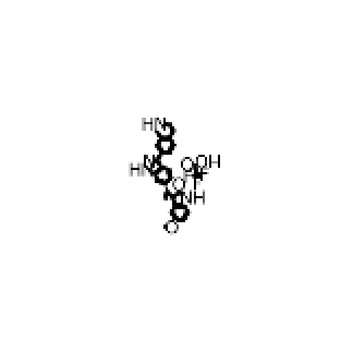 COc1ccc2c(c1)[C@]1(C[C@H]1c1ccc3c(-c4ccc5c(c4)CNCC5)n[nH]c3c1)C(=O)N2.O=C(O)C(F)(F)F